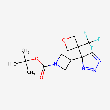 CC(C)(C)OC(=O)N1CC(C2(C3(C(F)(F)F)COC3)C=NN=N2)C1